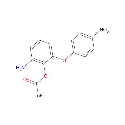 CCCC(=O)Oc1c(N)cccc1Oc1ccc([N+](=O)[O-])cc1